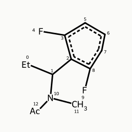 CCC(c1c(F)cccc1F)N(C)C(C)=O